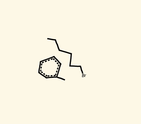 CCCCCCBr.Cc1ccccc1